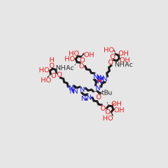 CC(=O)N[C@H]1[C@H](OCCCCCn2cc(CN(CCCC[C@@H](C(=O)C(C)(C)C)N(Cc3cn(CCCCCO[C@@H]4O[C@H](CO)[C@H](O)[C@H](O)[C@H]4C)nn3)Cc3cn(CCCCCO[C@@H]4O[C@H](CO)[C@H](O)[C@H](O)[C@H]4NC(C)=O)nn3)Cc3cn(CCCCCO[C@@H]4O[C@H](CO)[C@H](O)[C@H](O)[C@H]4C)cn3)nn2)O[C@H](CO)[C@H](O)[C@@H]1O